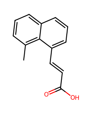 Cc1cccc2cccc(C=CC(=O)O)c12